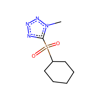 Cn1nnnc1S(=O)(=O)C1CCCCC1